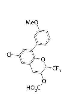 COc1cccc(-c2cc(Cl)cc3c2OC(C(F)(F)F)C(OC(=O)O)=C3)c1